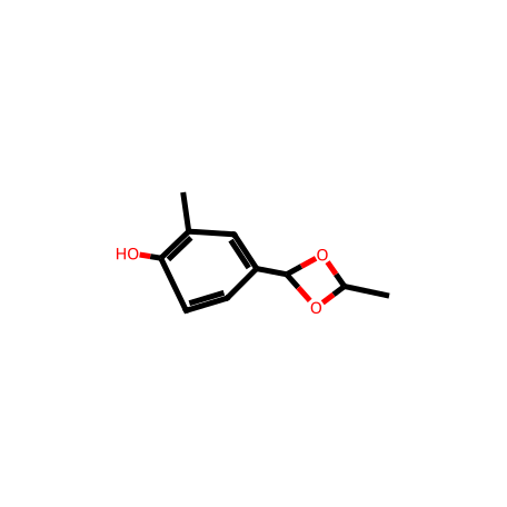 Cc1cc(C2OC(C)O2)ccc1O